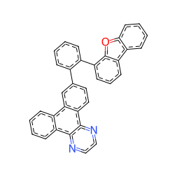 c1ccc(-c2cccc3c2oc2ccccc23)c(-c2ccc3c(c2)c2ccccc2c2nccnc32)c1